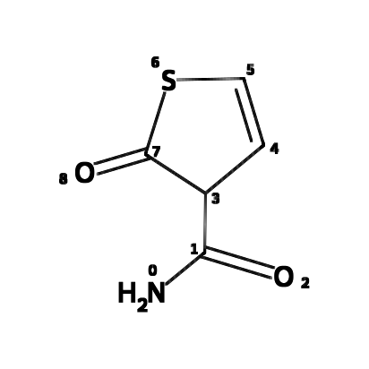 NC(=O)C1C=CSC1=O